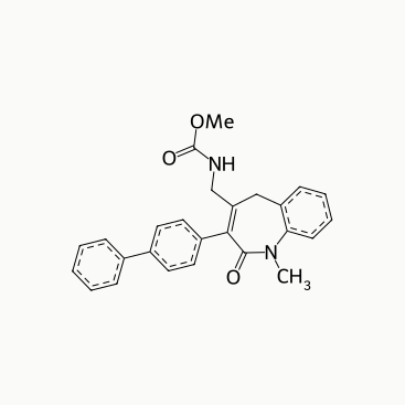 COC(=O)NCC1=C(c2ccc(-c3ccccc3)cc2)C(=O)N(C)c2ccccc2C1